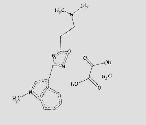 CN(C)CCc1nc(-c2cn(C)c3ccccc23)no1.O.O=C(O)C(=O)O